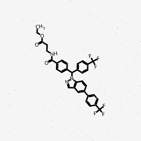 CCOC(=O)CCNC(=O)c1ccc(C(c2ccc(C(F)(F)F)cc2)n2ncc3cc(-c4ccc(C(F)(F)F)cc4)ccc32)cc1